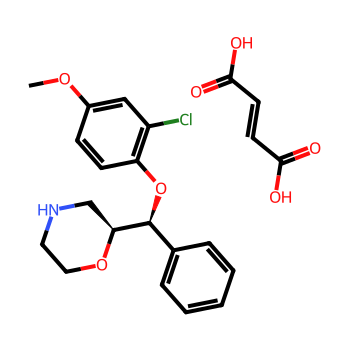 COc1ccc(O[C@@H](c2ccccc2)[C@@H]2CNCCO2)c(Cl)c1.O=C(O)/C=C/C(=O)O